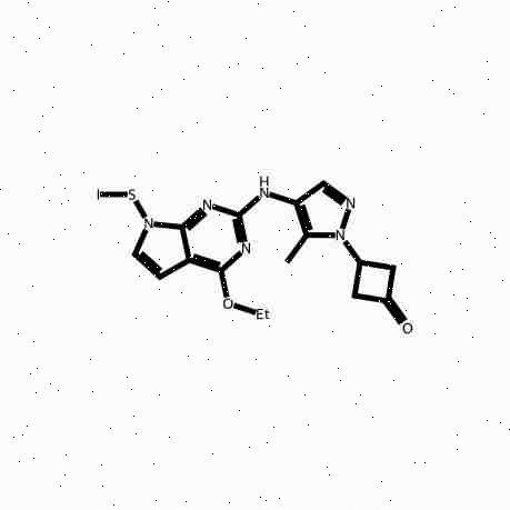 CCOc1nc(Nc2cnn(C3CC(=O)C3)c2C)nc2c1ccn2SI